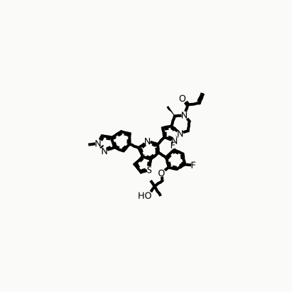 C=CC(=O)N1CCn2nc(-c3nc(-c4ccc5cn(C)nc5c4)c4ccsc4c3-c3c(F)cc(F)cc3OCC(C)(C)O)cc2[C@H]1C